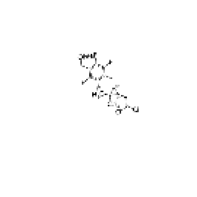 COCc1c(F)c(F)c(C[C@@H]2[C@@H](C=C(Cl)Cl)C2(C)C)c(F)c1F